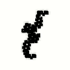 CCOC(=O)COc1ccc2c(c1)CC(NC[C@H](OC(=O)C(=O)O[C@@H](CNC1CCc3ccc(OCC(=O)OCC)cc3C1)c1cccc(Cl)n1)c1cccc(Cl)n1)CC2